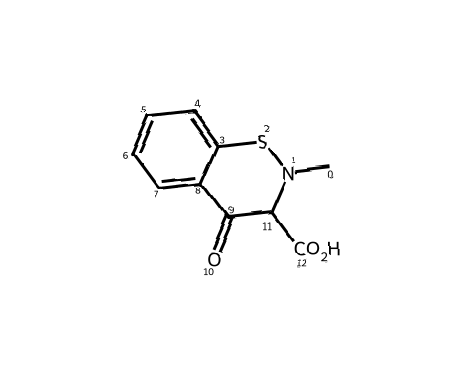 CN1Sc2ccccc2C(=O)C1C(=O)O